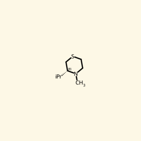 CC(C)[C@@H]1CSCCN1C